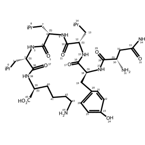 CC(C)C[C@H](NC(=O)[C@H](CC(C)C)NC(=O)[C@H](CC(C)C)NC(=O)[C@H](Cc1ccc(O)cc1)NC(=O)[C@@H](N)CC(N)=O)C(=O)N[C@@H](CCCCN)C(=O)O